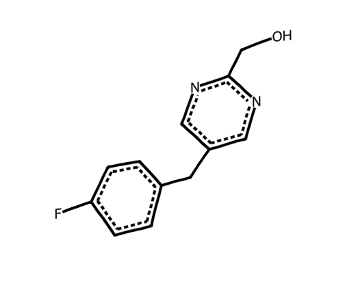 OCc1ncc(Cc2ccc(F)cc2)cn1